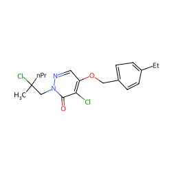 CCCC(C)(Cl)Cn1ncc(OCc2ccc(CC)cc2)c(Cl)c1=O